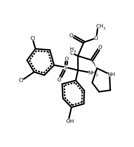 COC(=O)C(C)(C(=O)[C@H]1CCCN1)C(N)(c1ccc(O)cc1)S(=O)(=O)c1cc(Cl)cc(Cl)c1